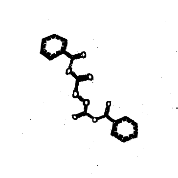 O=C(OOC(=O)OC(=O)c1ccccc1)OC(=O)c1ccccc1